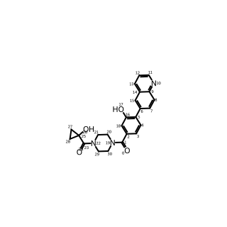 O=C(c1ccc(-c2ccc3ncccc3c2)c(O)c1)N1CCN(C(=O)C2(O)CC2)CC1